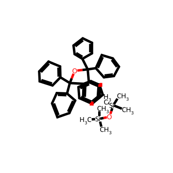 C[Si](C)(C)O[Si](C)(C)C.c1ccc(C(OC(c2ccccc2)(c2ccccc2)c2ccccc2)(c2ccccc2)c2ccccc2)cc1